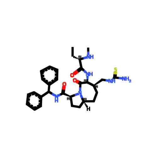 CC[C@H](NC)C(=O)N[C@@H]1C(=O)N2[C@@H](CC[C@@H]1CNC(N)=S)CC[C@H]2C(=O)NC(c1ccccc1)c1ccccc1